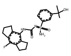 CC(C)(O)c1cccc([S@](N)(=O)=NC(=O)Nc2c3c(c(F)c4c2CCC4)CCC3)c1